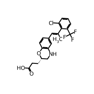 CC(=Cc1ccc2c(c1)NC[C@H](CCC(=O)O)O2)c1c(Cl)cccc1C(F)(F)F